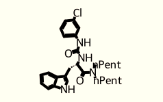 CCCCCN(CCCCC)C(=O)[C@H](Cc1c[nH]c2ccccc12)NC(=O)Nc1cccc(Cl)c1